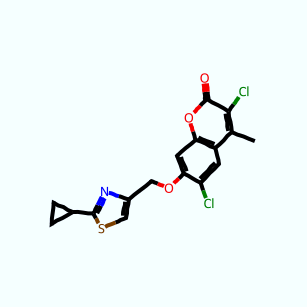 Cc1c(Cl)c(=O)oc2cc(OCc3csc(C4CC4)n3)c(Cl)cc12